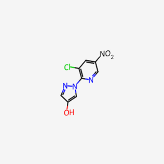 O=[N+]([O-])c1cnc(-n2cc(O)cn2)c(Cl)c1